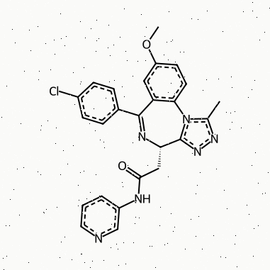 COc1ccc2c(c1)C(c1ccc(Cl)cc1)=N[C@@H](CC(=O)Nc1cccnc1)c1nnc(C)n1-2